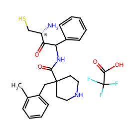 Cc1ccccc1CC1(C(=O)NC(C(=O)[C@@H](N)CS)c2ccccc2)CCNCC1.O=C(O)C(F)(F)F